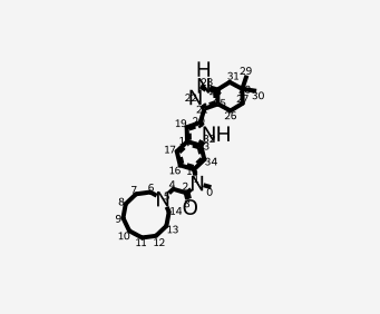 CN(C(=O)CN1CCCCCCCCC1)c1ccc2cc(-c3n[nH]c4c3CCC(C)(C)C4)[nH]c2c1